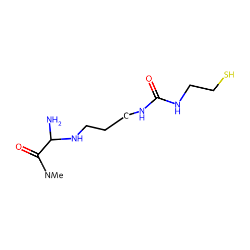 CNC(=O)C(N)NCCCNC(=O)NCCS